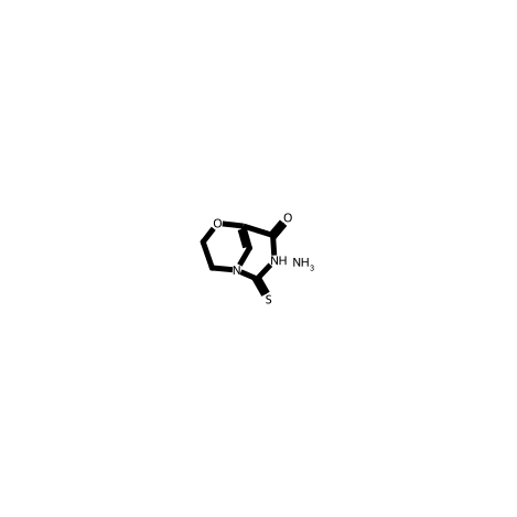 N.O=c1[nH]c(=S)n2cc1OCC2